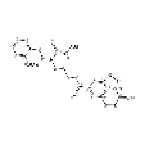 COc1ccccc1CCN(CCCCC(=O)c1cc2c3c(c1)CCN3C(=O)CC2)C(=O)OC(C)(C)C